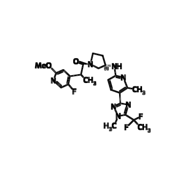 COc1cc(C(C)C(=O)N2CC[C@H](Nc3ccc(-c4nc(C(C)(F)F)n(C)n4)c(C)n3)C2)c(F)cn1